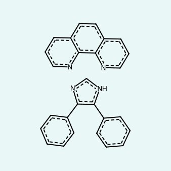 c1ccc(-c2nc[nH]c2-c2ccccc2)cc1.c1cnc2c(c1)ccc1cccnc12